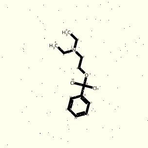 CCN(CC)CCOC(Cl)(Cl)c1ccccc1